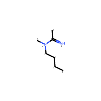 CCCCN(C)C(C)=N